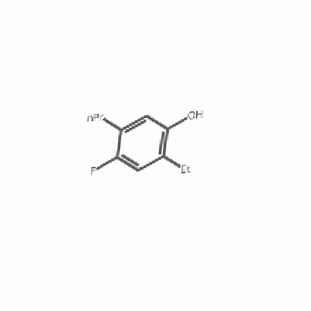 CCCc1cc(O)c(CC)cc1F